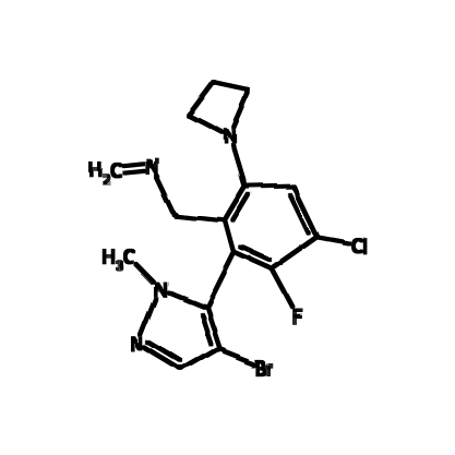 C=NCc1c(N2CCC2)cc(Cl)c(F)c1-c1c(Br)cnn1C